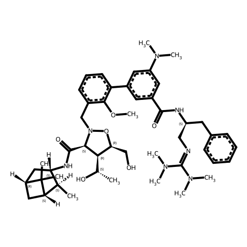 COc1c(CN2O[C@@H](CO)[C@@H]([C@H](C)O)[C@H]2C(=O)N[C@H]2C[C@H]3C[C@@H]([C@@H]2C)C3(C)C)cccc1-c1cc(C(=O)N[C@H](CN=C(N(C)C)N(C)C)Cc2ccccc2)cc(N(C)C)c1